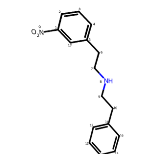 O=[N+]([O-])c1cccc(CCNCCc2ccccc2)c1